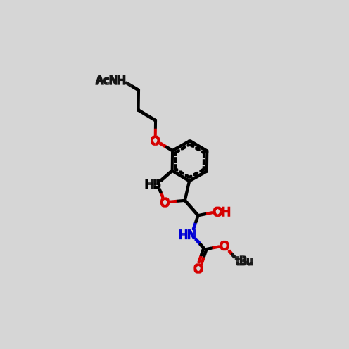 CC(=O)NCCCOc1cccc2c1BOC2C(O)NC(=O)OC(C)(C)C